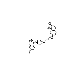 O=C1CCc2ccc(OCCCCN3CCN(c4nccc5cc(F)ccc45)CC3)nc2N1